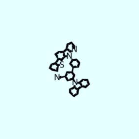 N#Cc1cc(-c2cccc(-n3c4ncccc4c4ccc5c6ccccc6sc5c43)c2)cc(-n2c3ccccc3c3ccccc32)c1